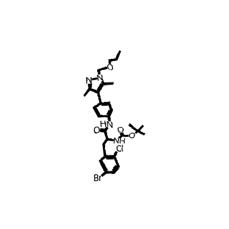 CCCOCn1nc(C)c(-c2ccc(NC(=O)C(Cc3cc(Br)ccc3Cl)NC(=O)OC(C)(C)C)cc2)c1C